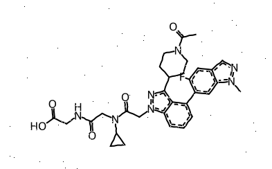 CC(=O)N1CCC(c2nn(CC(=O)N(CC(=O)NCC(=O)O)C3CC3)c3cccc(-c4cc5c(cnn5C)cc4F)c23)CC1